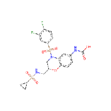 O=C(O)Nc1ccc2c(c1)N(S(=O)(=O)c1ccc(F)c(F)c1)CC(CNS(=O)(=O)C1CC1)O2